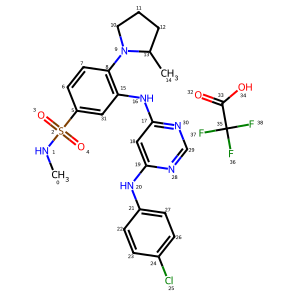 CNS(=O)(=O)c1ccc(N2CCCC2C)c(Nc2cc(Nc3ccc(Cl)cc3)ncn2)c1.O=C(O)C(F)(F)F